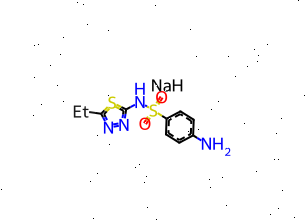 CCc1nnc(NS(=O)(=O)c2ccc(N)cc2)s1.[NaH]